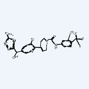 Cc1nnc(C(O)c2cnc(C3=CCN(C(=O)Nc4ccc(C(F)(F)F)c(C)c4)CC3)c(Cl)c2)o1